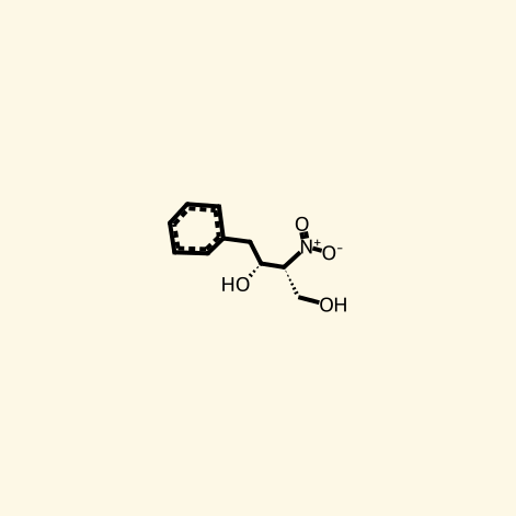 O=[N+]([O-])[C@H](CO)[C@H](O)Cc1ccccc1